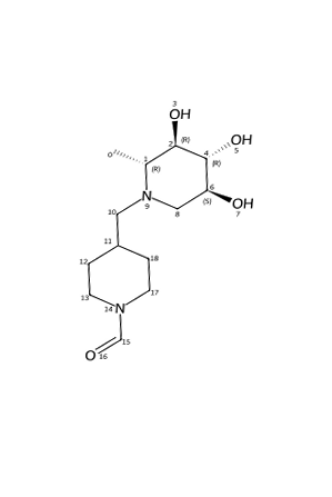 C[C@@H]1[C@@H](O)[C@H](O)[C@@H](O)CN1CC1CCN(C=O)CC1